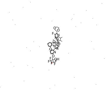 COc1cccc(OC)c1-n1c(NS(=O)(=O)C(C)C(C)c2ncc(F)c([C@H]3COCCO3)n2)nnc1-c1cccc(OCC(O)(C(F)(F)F)C(F)(F)F)n1